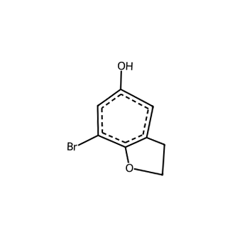 Oc1cc(Br)c2c(c1)CCO2